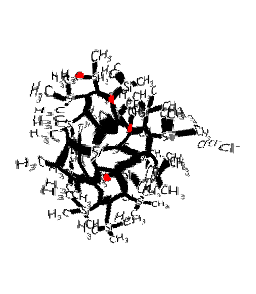 CC1=C(C)[C]([Ti+3])([Si](c2c([Si](C)(C)C)c([Si](C)(C)C)c([Si](C)(C)C)c([Si](C)(C)C)c2[Si](C)(C)C)(c2c([Si](C)(C)C)c([Si](C)(C)C)c([Si](C)(C)C)c([Si](C)(C)C)c2[Si](C)(C)C)c2c([Si](C)(C)C)c([Si](C)(C)C)c([Si](C)(C)C)c([Si](C)(C)C)c2[Si](C)(C)C)C(C)=C1C.[Cl-].[Cl-].[Cl-]